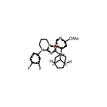 COc1cc(N2C[C@H]3CC[C@@H](C2)C3Nc2nc3n(n2)CCCN3c2ccc(F)c(F)c2)ncn1